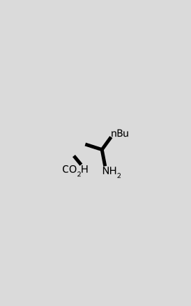 CC(=O)O.CCCCC(C)N